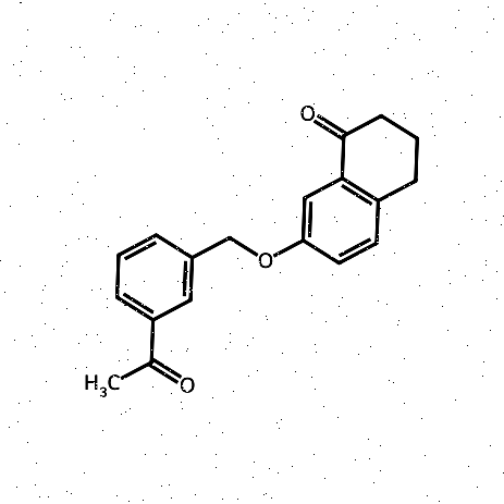 CC(=O)c1cccc(COc2ccc3c(c2)C(=O)CCC3)c1